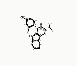 O=C(O)[C@@H]1Cc2c([nH]c3ccccc23)[C@H](c2ccc(Cl)cc2Cl)N1